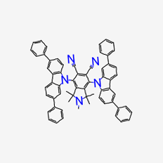 CN1C(C)(C)c2c(-n3c4ccc(-c5ccccc5)cc4c4ccc(-c5ccccc5)cc43)c(C#N)c(C#N)c(-n3c4ccc(-c5ccccc5)cc4c4ccc(-c5ccccc5)cc43)c2C1(C)C